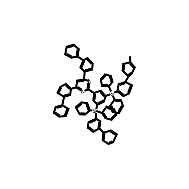 Cc1ccc(-c2cccc([Si](c3ccccc3)(c3ccccc3)c3cc(-c4nc(-c5cccc(-c6ccccc6)c5)cc(-c5cccc(-c6ccccc6)c5)n4)cc([Si](c4ccccc4)(c4ccccc4)c4cccc(-c5ccccc5)c4)c3)c2)cc1